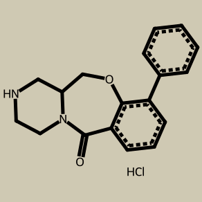 Cl.O=C1c2cccc(-c3ccccc3)c2OCC2CNCCN12